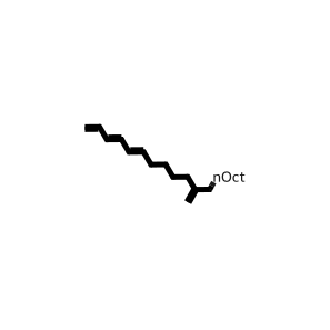 C=CC=CC=CCCCCC(=C)CCCCCCCCC